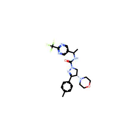 Cc1ccc(C2=NN(C(=O)NC(C)c3cnc(C(F)(F)F)nc3)C[C@@H]2N2CCOCC2)cc1